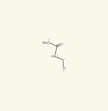 COC(=O)NCCl